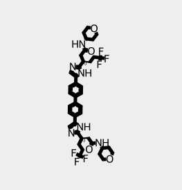 O=C(C[C@@H](CCC(F)(F)F)c1ncc(-c2ccc(-c3ccc(-c4cnc([C@H](CCC(F)(F)F)CC(=O)NC5CCOCC5)[nH]4)cc3)cc2)[nH]1)NC1CCOCC1